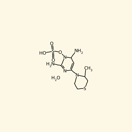 CC1CSCCN1C1=CC(N)N(OS(=O)(=O)O)C(N)=N1.O